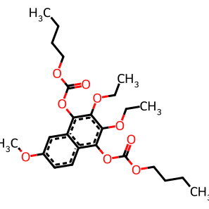 CCCCOC(=O)Oc1c(OCC)c(OCC)c(OC(=O)OCCCC)c2cc(OC)ccc12